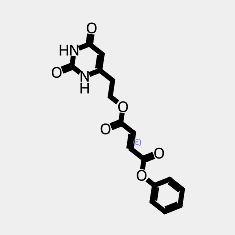 O=C(/C=C/C(=O)Oc1ccccc1)OCCc1cc(=O)[nH]c(=O)[nH]1